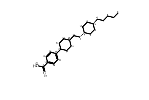 CCCCC[C@H]1CC[C@H](CCC2CCC(c3ccc(C(=O)O)cc3)CC2)CC1